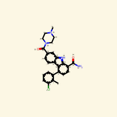 Cc1c(Cl)cccc1-c1ccc(C(N)=O)c2[nH]c3cc(C(=O)N4CCN(C)CC4)ccc3c12